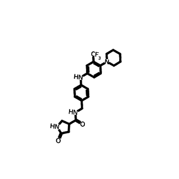 O=C1CC(C(=O)NCc2ccc(Nc3ccc(N4CCCCC4)c(C(F)(F)F)c3)cc2)CN1